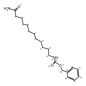 NC(=O)CCCCCCCCCCCNC(=O)OCc1ccccc1